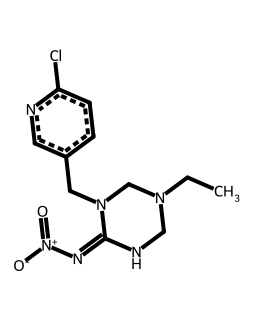 CCN1CN/C(=N/[N+](=O)[O-])N(Cc2ccc(Cl)nc2)C1